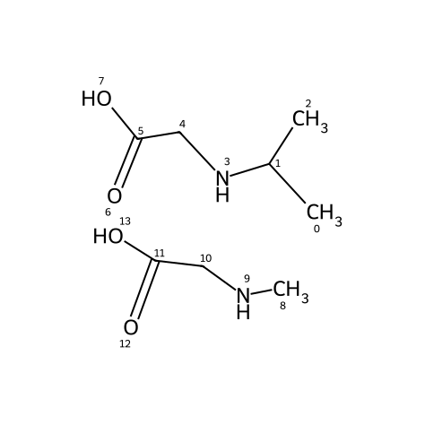 CC(C)NCC(=O)O.CNCC(=O)O